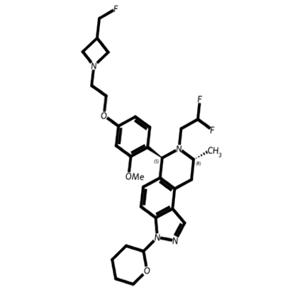 COc1cc(OCCN2CC(CF)C2)ccc1[C@@H]1c2ccc3c(cnn3C3CCCCO3)c2C[C@@H](C)N1CC(F)F